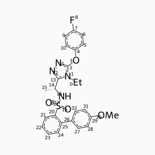 CCn1c(Oc2ccc(F)cc2)nnc1[C@@H](C)NS(=O)(=O)c1ccccc1-c1ccc(OC)cc1